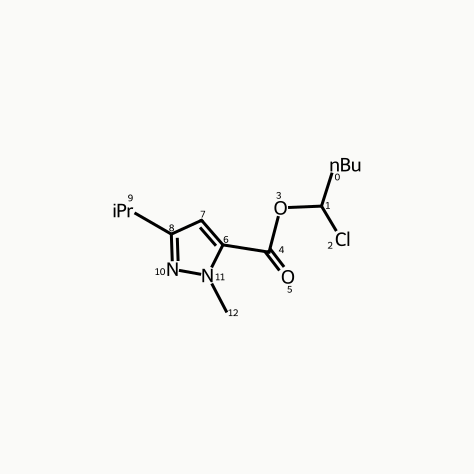 CCCCC(Cl)OC(=O)c1cc(C(C)C)nn1C